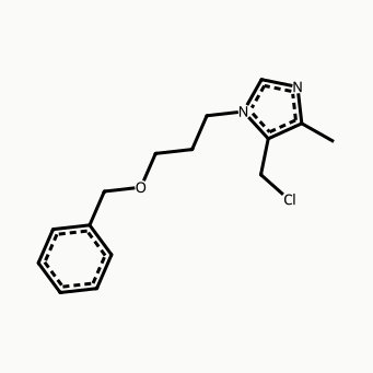 Cc1ncn(CCCOCc2ccccc2)c1CCl